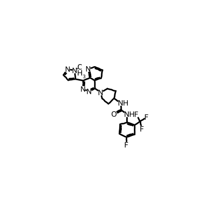 Cn1nccc1-c1nnc(N2CCC(NC(=O)Nc3ccc(F)cc3C(F)(F)F)CC2)c2cccnc12